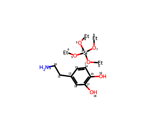 CCO[Si](OCC)(OCC)OCC.NCCc1ccc(O)c(O)c1